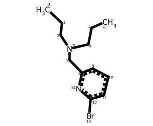 CCCN(CCC)Cc1cccc(Br)n1